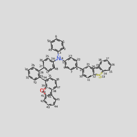 c1ccc(N(c2ccc(-c3ccc4sc5ccccc5c4c3)cc2)c2ccc(-c3ccccc3-c3cccc4c3oc3ccccc34)cc2)cc1